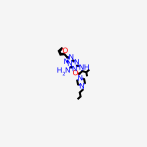 CCCCN1CCN(C(=O)C(Nc2nc(N)n3nc(-c4ccco4)nc3n2)C(C)C)CC1